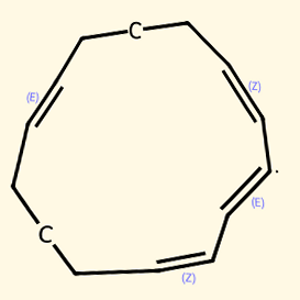 [C]1=C/C=C\CCC/C=C/CCC\C=C/1